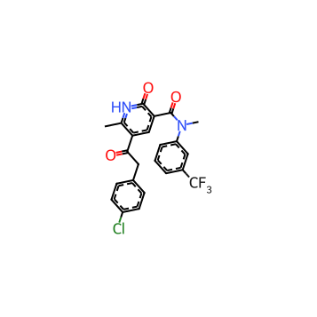 Cc1[nH]c(=O)c(C(=O)N(C)c2cccc(C(F)(F)F)c2)cc1C(=O)Cc1ccc(Cl)cc1